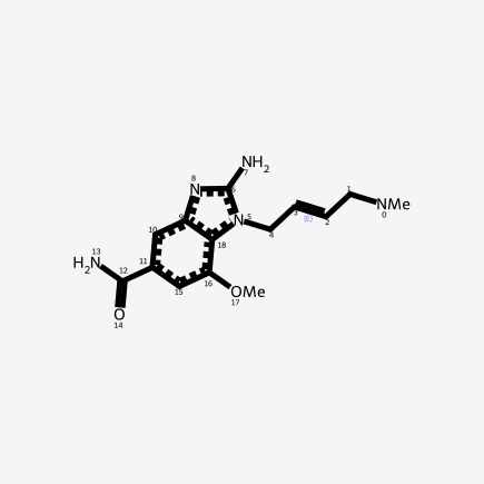 CNC/C=C/Cn1c(N)nc2cc(C(N)=O)cc(OC)c21